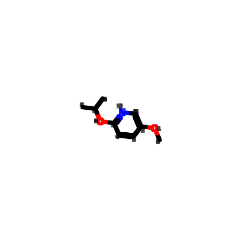 COc1ccc(OC(C)C)nc1